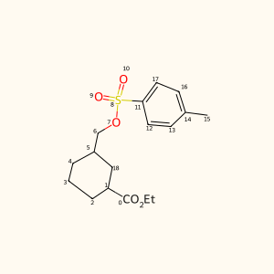 CCOC(=O)C1CCCC(COS(=O)(=O)c2ccc(C)cc2)C1